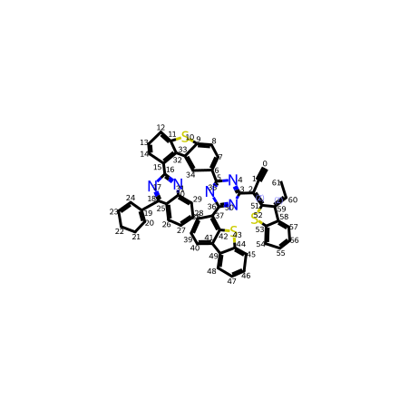 C#C/C(c1nc(-c2ccc3sc4cccc(-c5nc(C6=CCCC=C6)c6ccccc6n5)c4c3c2)nc(-c2cccc3c2sc2ccccc23)n1)=c1/sc2ccccc2/c1=C/C